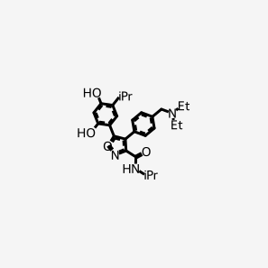 CCN(CC)Cc1ccc(-c2c(C(=O)NC(C)C)noc2-c2cc(C(C)C)c(O)cc2O)cc1